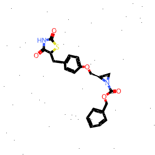 O=C1NC(=O)C(Cc2ccc(OC[C@H]3CN3C(=O)OCc3ccccc3)cc2)S1